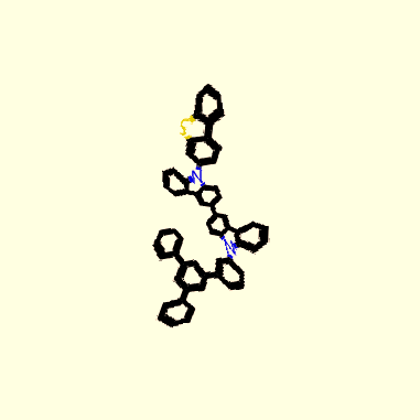 c1ccc(-c2cc(-c3ccccc3)cc(-c3cccc(-n4c5ccccc5c5cc(-c6ccc7c(c6)c6ccccc6n7-c6ccc7c(c6)sc6ccccc67)ccc54)c3)c2)cc1